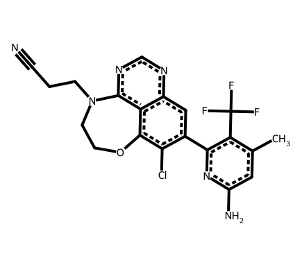 Cc1cc(N)nc(-c2cc3ncnc4c3c(c2Cl)OCCN4CCC#N)c1C(F)(F)F